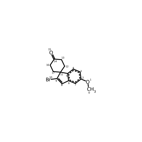 COc1ccc2c(c1)C=C(Br)C21CCC(=O)CC1